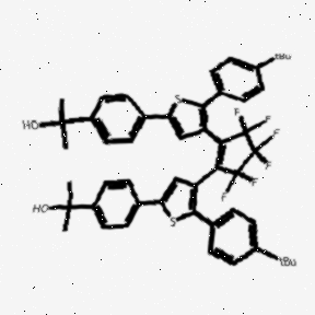 CC(C)(C)c1ccc(-c2sc(-c3ccc(C(C)(C)O)cc3)cc2C2=C(c3cc(-c4ccc(C(C)(C)O)cc4)sc3-c3ccc(C(C)(C)C)cc3)C(F)(F)C(F)(F)C2(F)F)cc1